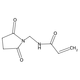 C=CC(=O)NCN1C(=O)CCC1=O